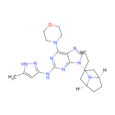 Cc1cc(Nc2nc(N3CCOCC3)c3ncn([C@@H]4C[C@H]5CC[C@@H](C4)N5CCC#N)c3n2)n[nH]1